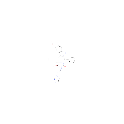 CCC12Cc3c([nH]c4ccc(OC)cc34)C(c3ccccc3)N1C(=O)N(CCn1ccnc1)C2=O